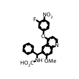 COc1cc2nccc(Oc3ccc([N+](=O)[O-])c(F)c3)c2cc1[C](NC(=O)O)c1ccccc1